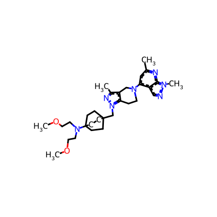 COCCN(CCOC)C12CCC(Cn3nc(C)c4c3CCN(c3cc(C)nc5c3cnn5C)C4)(CC1)CC2